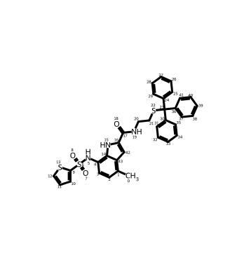 Cc1ccc(NS(=O)(=O)c2cccs2)c2[nH]c(C(=O)NCCSC(c3ccccc3)(c3ccccc3)c3ccccc3)cc12